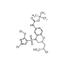 CCOc1nn(CC)cc1S(=O)(=O)N1CC(CC(CC)C(=O)O)Oc2ccc(NC(=O)OC(C)(C)C(F)(F)F)cc21